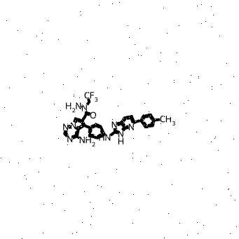 Cc1ccc(-c2ccc3nc(Nc4ccc(-c5c(C(=O)N(N)CC(F)(F)F)cn6ncnc(N)c56)cc4)[nH]c3n2)cc1